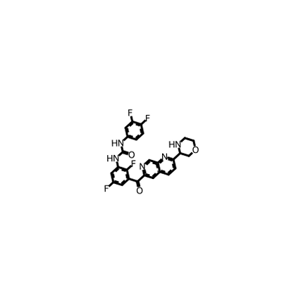 O=C(Nc1ccc(F)c(F)c1)Nc1cc(F)cc(C(=O)c2cc3ccc(C4COCCN4)nc3cn2)c1F